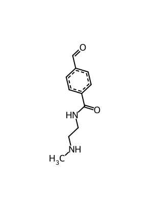 CNCCNC(=O)c1ccc(C=O)cc1